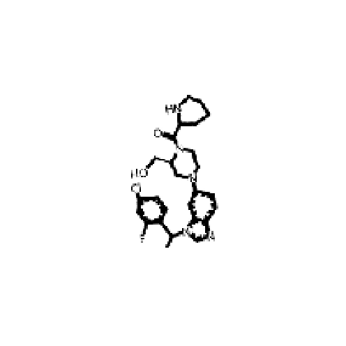 CC(c1ccc(Cl)cc1F)n1cnc2ccc(N3CCN(C(=O)C4CCCCN4)[C@H](CO)C3)cc21